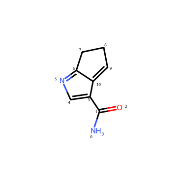 NC(=O)C1=CN=C2CCC=C12